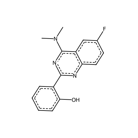 CN(C)c1nc(-c2ccccc2O)nc2ccc(F)cc12